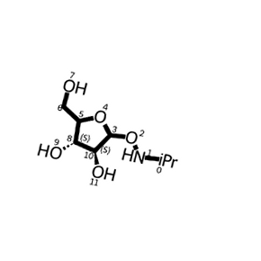 CC(C)NOC1OC(CO)[C@@H](O)[C@@H]1O